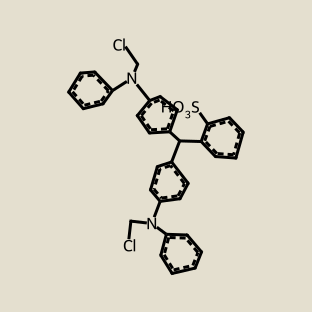 O=S(=O)(O)c1ccccc1C(c1ccc(N(CCl)c2ccccc2)cc1)c1ccc(N(CCl)c2ccccc2)cc1